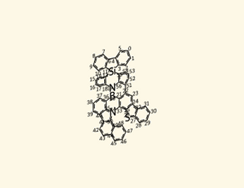 c1ccc2c(c1)-c1ccccc1[Si]21c2ccccc2N2B3c4c(cc5c(sc6ccccc65)c4-n4c5c3cccc5c3ccc5ccccc5c34)-c3cccc1c32